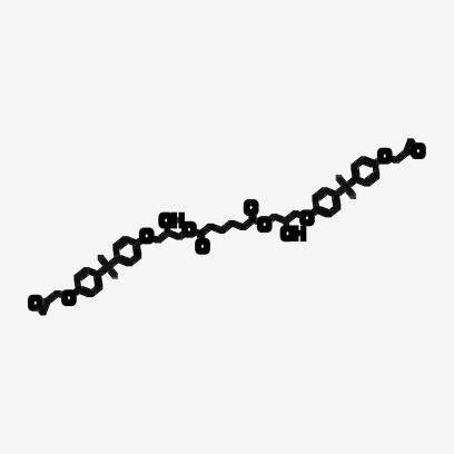 CC(C)(c1ccc(OCC(O)COC(=O)CCCCC(=O)OCC(O)COc2ccc(C(C)(C)c3ccc(OCC4CO4)cc3)cc2)cc1)c1ccc(OCC2CO2)cc1